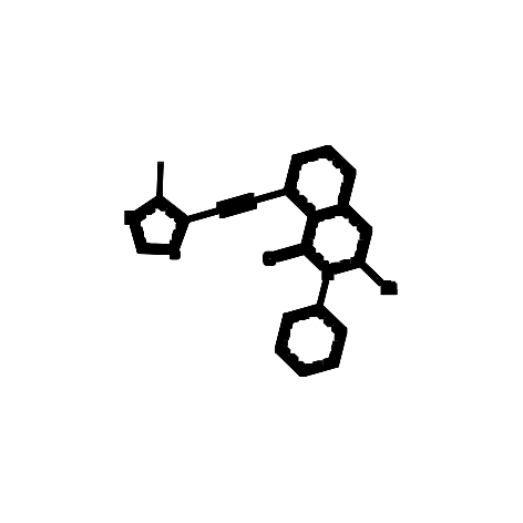 CCc1cc2cccc(C#Cc3scnc3C)c2c(=O)n1-c1ccccc1